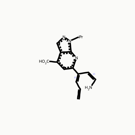 C=C/C=C(\C=C/N)c1cc(C(=O)O)c2cnn(C(C)C)c2n1